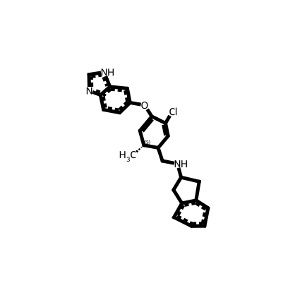 C[C@@H]1C=C(Oc2ccc3nc[nH]c3c2)C(Cl)=CC1CNC1Cc2ccccc2C1